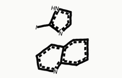 Ic1ncc[nH]1.c1ccc2ncccc2c1